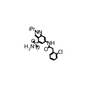 CC(C)n1cc2c(S(N)(=O)=O)cc(NC(=O)Cc3ccccc3Cl)cc2n1